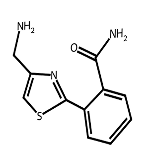 NCc1csc(-c2ccccc2C(N)=O)n1